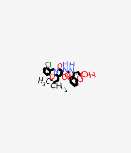 CCCc1cn(Cc2c(Cl)cccc2OCC)c(=O)c(NC(=O)N[C@@H](CC(=O)O)c2ccccc2)c1O